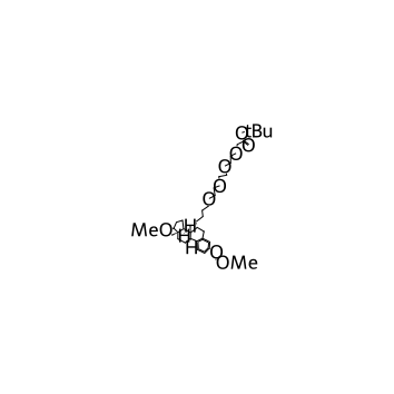 COCOc1ccc2c(c1)C[C@@H](CCCCOCCOCCOCCOCC(=O)OC(C)(C)C)[C@@H]1[C@@H]2CC[C@]2(C)[C@@H](OC)CC[C@@H]12